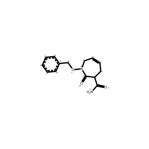 NC(=O)C1CC=CCN(OCc2ccccc2)C1=O